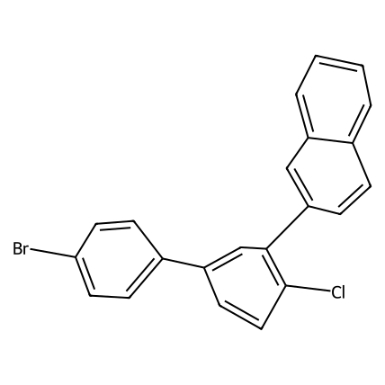 Clc1ccc(-c2ccc(Br)cc2)cc1-c1ccc2ccccc2c1